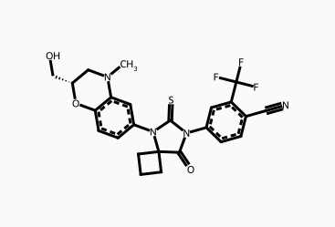 CN1C[C@@H](CO)Oc2ccc(N3C(=S)N(c4ccc(C#N)c(C(F)(F)F)c4)C(=O)C34CCC4)cc21